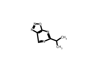 CC(C)c1ncc2nnoc2n1